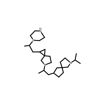 CC(C)N1CCC2(CCC(CC(C)N3CCC4(CC4CC(C)N4CCNCC4)C3)C2)C1